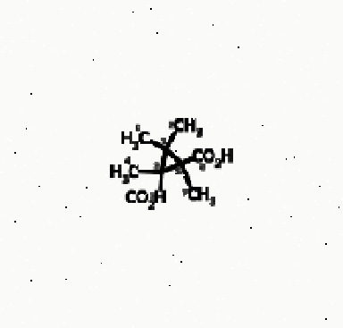 CC1(C)C(C)(C(=O)O)C1(C)C(=O)O